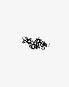 O=c1[nH]nc(-c2cccn(C[C@@H]3CNCCO[C@H]3c3ccc(Cl)c(F)c3)c2=O)[nH]1